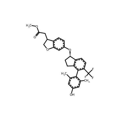 COC(=O)CC1COc2cc(O[C@@H]3CCc4c3ccc(C(F)(F)F)c4-c3c(C)cc(O)cc3C)ccc21